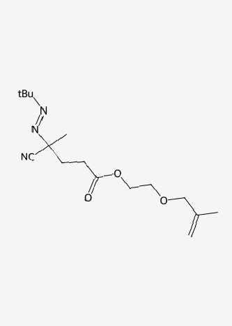 C=C(C)COCCOC(=O)CCC(C)(C#N)/N=N/C(C)(C)C